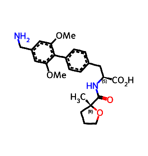 COc1cc(CN)cc(OC)c1-c1ccc(C[C@H](NC(=O)[C@@]2(C)CCCO2)C(=O)O)cc1